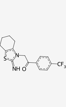 N=c1sc2c(n1CC(=O)c1ccc(C(F)(F)F)cc1)CCCC2